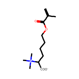 C=C(C)C(=O)OCCCCC(C(=O)[O-])[N+](C)(C)C